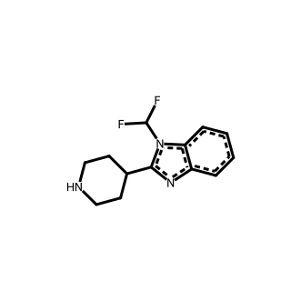 FC(F)n1c(C2CCNCC2)nc2ccccc21